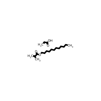 C=C(C)C(=O)OCCCCCCCCCCCC.C=CC(=O)O